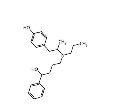 CCCN(CCCC(O)c1ccccc1)C(C)Cc1ccc(O)cc1